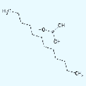 CCCCCCCCCCCC.OP(O)O